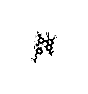 CC(=O)CCc1ccc(Oc2cc(C(C)(C)C)cc3cc(C#N)c(C#N)c(-c4cc(C(F)(F)F)cc(C(F)(F)F)c4)c23)cc1